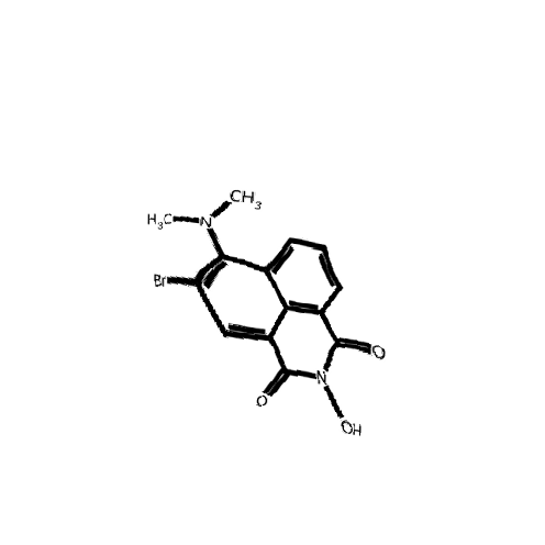 CN(C)c1c(Br)cc2c3c(cccc13)C(=O)N(O)C2=O